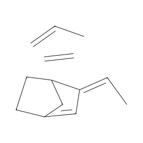 C/C=C1\C=C2CCC1C2.C=C.C=CC